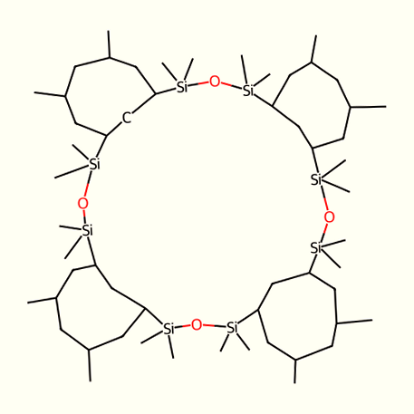 CC1CC(C)CC2CC(C1)[Si](C)(C)O[Si](C)(C)C1CC(C)CC(C)CC(C1)[Si](C)(C)O[Si](C)(C)C1CC(C)CC(C)CC(C1)[Si](C)(C)O[Si](C)(C)C1CC(C)CC(C)CC(C1)[Si](C)(C)O[Si]2(C)C